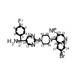 C[C@](N)(c1ccc(F)cc1)c1cnc(N2CCN(c3c(C#N)cnn4cc(Br)cc34)CC2)nc1